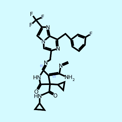 C=N/C(N)=C1\C(=N/Cc2cn3cc(C(F)(F)F)nc3c(Cc3cccc(F)c3)n2)NC(=O)C1(C(=O)NC1CC1)C1CC1